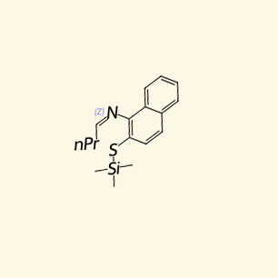 CCC/C=N\c1c(S[Si](C)(C)C)ccc2ccccc12